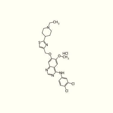 CCN1CCC(c2nc(COc3cc4ncnc(Nc5ccc(Cl)c(Cl)c5)c4cc3OC)cs2)CC1.Cl